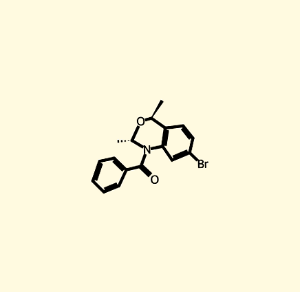 C[C@@H]1O[C@@H](C)N(C(=O)c2ccccc2)c2cc(Br)ccc21